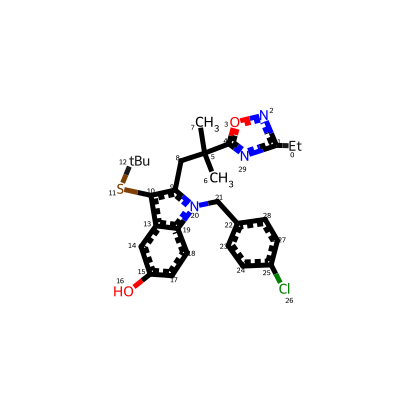 CCc1noc(C(C)(C)Cc2c(SC(C)(C)C)c3cc(O)ccc3n2Cc2ccc(Cl)cc2)n1